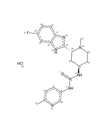 Cc1ccc(NC(=O)N[C@@H]2CCN(C)[C@@H](c3nc4ccc(F)cc4[nH]3)C2)cn1.Cl